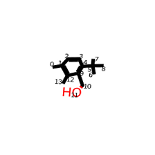 Cc1ccc(C(C)(C)C)c(CO)c1C